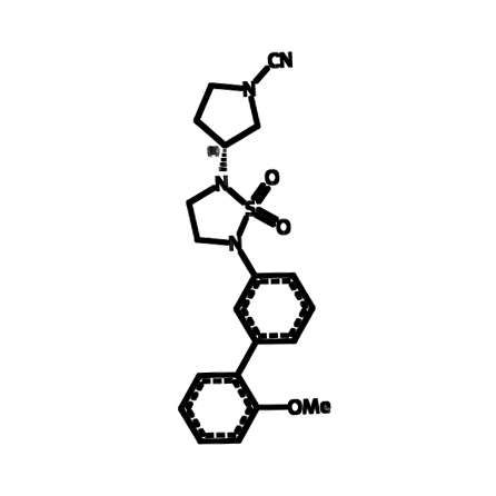 COc1ccccc1-c1cccc(N2CCN([C@@H]3CCN(C#N)C3)S2(=O)=O)c1